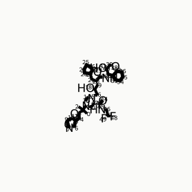 CC(C)(c1cc2cnccc2o1)N1CCN(C[C@@H](O)C[C@@H](Cc2ccccc2)C(=O)N[C@H]2c3ccccc3OC[C@H]2O)[C@H](C(=O)NCC(F)F)C1